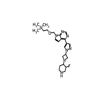 C[Si](C)(C)CCOCn1ccc2c(-c3cnn(C4CN(C5CCNCC5F)C4)c3)ncnc21